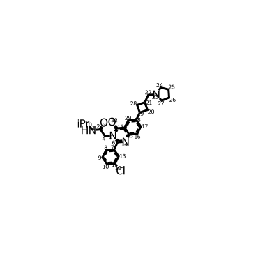 CC(C)NC(=O)Cn1c(-c2cccc(Cl)c2)nc2ccc(C3CC(CN4CCCC4)C3)cc2c1=O